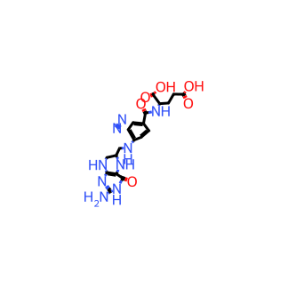 N#N.Nc1nc2c(c(=O)[nH]1)NC(CNc1ccc(C(=O)NC(CCC(=O)O)C(=O)O)cc1)CN2